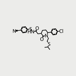 CC(C)SCCN1C(=O)C(CC(=O)NSc2ccc(C#N)cc2)CCC1c1ccc(Cl)cc1